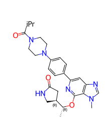 CC(C)C(=O)N1CCN(c2ccc(-c3cc4ncn(C)c4c(O[C@H](C)[C@H]4CNC(=O)C4)n3)cc2)CC1